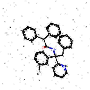 O=C(NC(Cc1ccccc1)(c1cccc(C(F)(F)F)c1)c1ccccn1)C(c1ccccc1)c1ccccc1